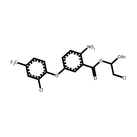 CC(=O)OC(CCl)OC(=O)c1cc(Oc2ccc(C(F)(F)F)cc2Cl)ccc1[N+](=O)[O-]